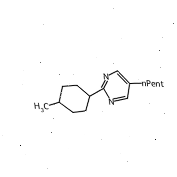 CCCCCc1cnc(C2CCC(C)CC2)nc1